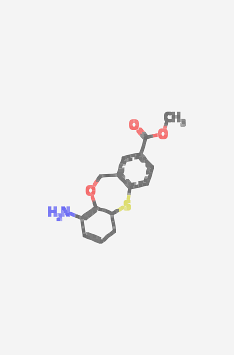 COC(=O)c1ccc2c(c1)COC1=C(N)C=CCC1S2